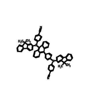 CC1(C)c2ccccc2-c2ccc(N(c3ccc(C#N)cc3)c3ccc(-c4c5ccccc5c(N(c5ccc(C#N)cc5)c5ccc6c(c5)C(C)(C)c5ccccc5-6)c5ccccc45)cc3)cc21